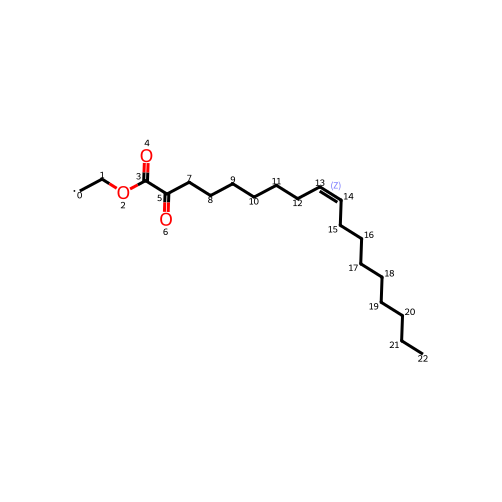 [CH2]COC(=O)C(=O)CCCCCC/C=C\CCCCCCCC